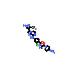 C[C@@H](NC(=O)c1ccc(Nc2nccn3c(-c4c[nH]nc4C(F)(F)F)cnc23)cc1Cl)C(=O)N1CCC(N)CC1